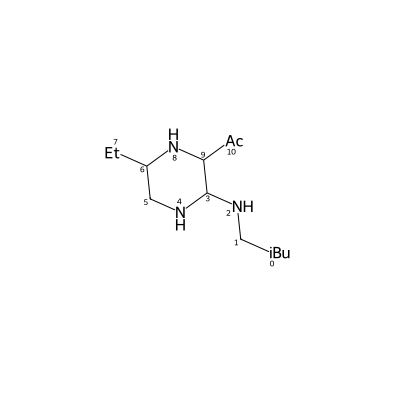 CCC(C)CNC1NCC(CC)NC1C(C)=O